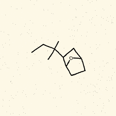 CCC(C)(C)C1CC2CCC1O2